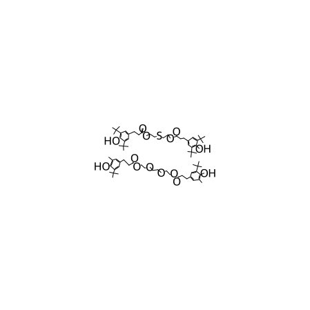 CC(C)(C)c1cc(CCC(=O)OCCSCCOC(=O)CCc2cc(C(C)(C)C)c(O)c(C(C)(C)C)c2)cc(C(C)(C)C)c1O.Cc1cc(CCC(=O)OCCOCCOCCOC(=O)CCc2cc(C)c(O)c(C(C)(C)C)c2)cc(C(C)(C)C)c1O